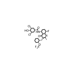 Cc1nc2c(F)ccc(NC(=O)c3cc(Cl)c(O)c(Cl)c3)c2c(=O)n1Cc1ccccc1OC(F)(F)F